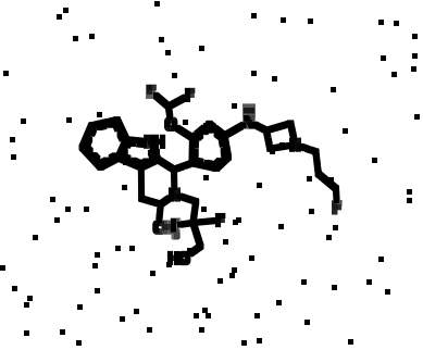 CC1Cc2c([nH]c3ccccc23)C(c2ccc(NC3CN(CCCF)C3)cc2OC(F)F)N1CC(F)(F)CO